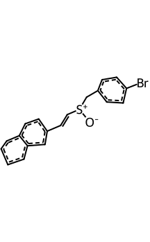 [O-][S+](/C=C/c1ccc2ccccc2c1)Cc1ccc(Br)cc1